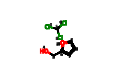 ClC(Cl)Cl.OCc1ccco1